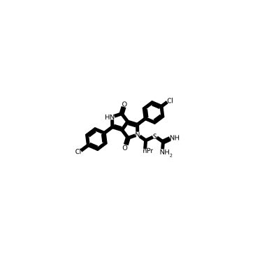 CCCC(SC(=N)N)N1C(=O)C2=C(c3ccc(Cl)cc3)NC(=O)C2=C1c1ccc(Cl)cc1